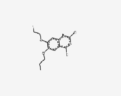 CCCOc1cc2nc(Cl)nc(Cl)c2cc1OCCC